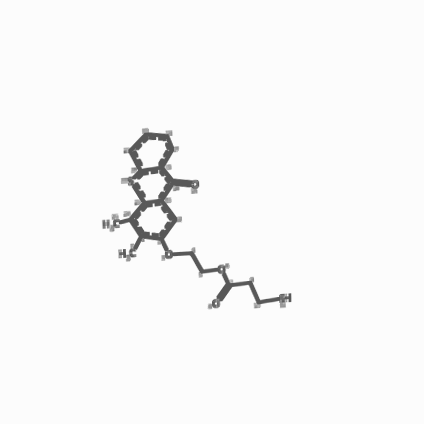 Cc1c(OCCOC(=O)CCS)cc2c(=O)c3ccccc3sc2c1C